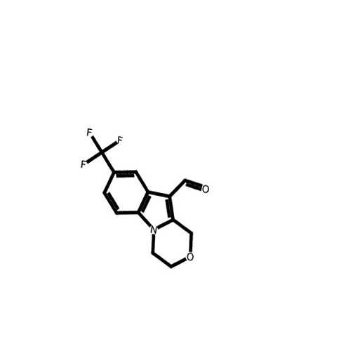 O=Cc1c2n(c3ccc(C(F)(F)F)cc13)CCOC2